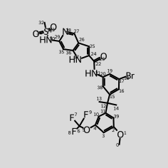 COc1cc(OC(F)(F)F)cc(C(C)(C)c2cc(Br)cc(NC(=O)c3cc4cnc(NS(C)(=O)=O)cc4[nH]3)c2)c1